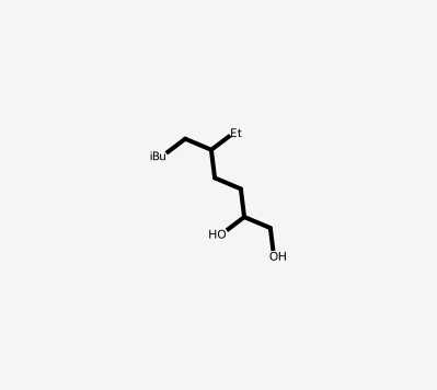 CCC(C)CC(CC)CCC(O)CO